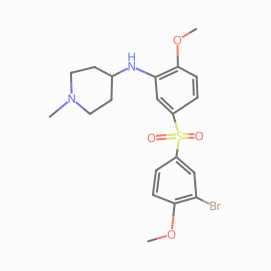 COc1ccc(S(=O)(=O)c2ccc(OC)c(NC3CCN(C)CC3)c2)cc1Br